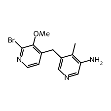 COc1c(Cc2cncc(N)c2C)ccnc1Br